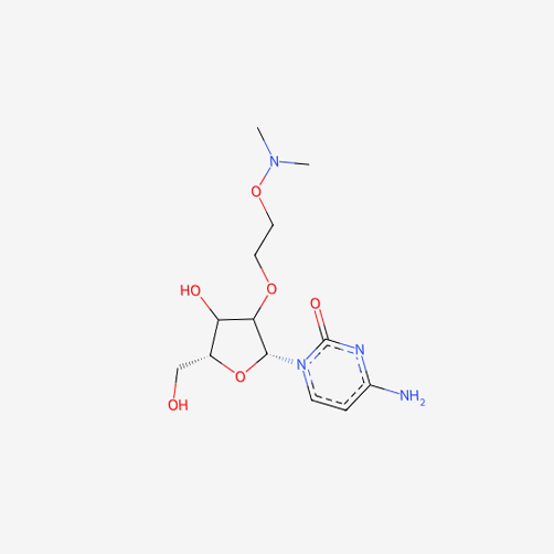 CN(C)OCCOC1C(O)[C@@H](CO)O[C@H]1n1ccc(N)nc1=O